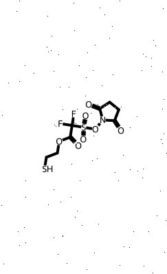 O=C1CCC(=O)N1OS(=O)(=O)C(F)(F)C(=O)OCCS